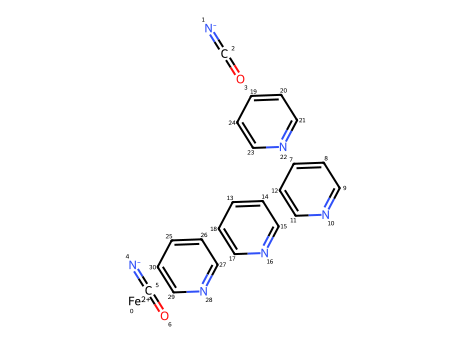 [Fe+2].[N-]=C=O.[N-]=C=O.c1ccncc1.c1ccncc1.c1ccncc1.c1ccncc1